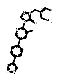 Cc1cc(-c2ccc(-c3cnon3)cc2)cnc1-n1cnn(C/C(=C/F)CN)c1=O